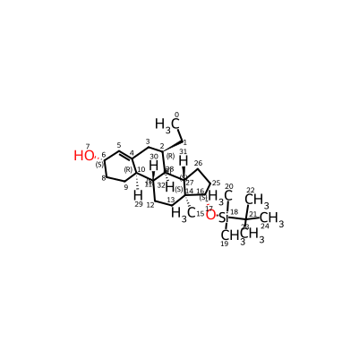 CC[C@@H]1CC2=C[C@@H](O)CC[C@@H]2[C@H]2CC[C@]3(C)[C@@H](O[Si](C)(C)C(C)(C)C)CC[C@H]3[C@H]12